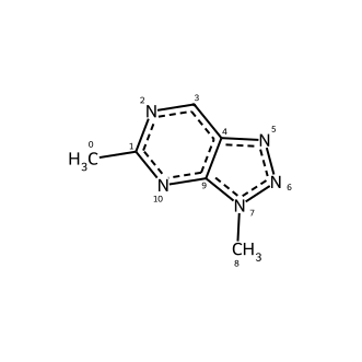 Cc1ncc2nnn(C)c2n1